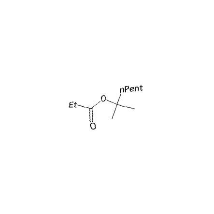 [CH2]CC(=O)OC(C)(C)CCCCC